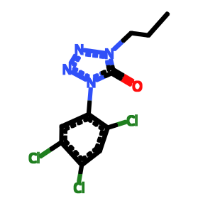 CCCn1nnn(-c2cc(Cl)c(Cl)cc2Cl)c1=O